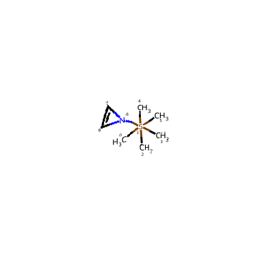 CS(C)(C)(C)(C)N1C=C1